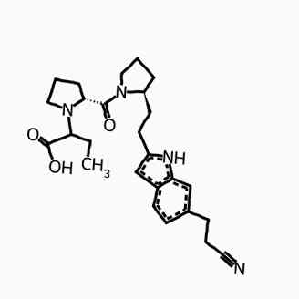 CCC(C(=O)O)N1CCC[C@@H]1C(=O)N1CCC[C@H]1CCc1cc2ccc(CCC#N)cc2[nH]1